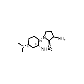 CC(=O)N[C@@H]1C[C@H](N(C)C)CC[C@@H]1N1CCC(N)C1=O